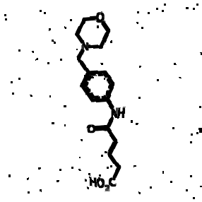 O=C(O)CCCC(=O)Nc1ccc(CN2CCOCC2)cc1